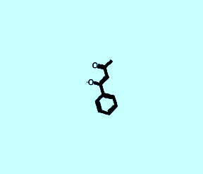 CC(=O)C=C([O])c1ccccc1